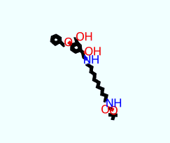 CC(C)(C)OC(=O)NCCCCCCCCCCCNCC(O)c1ccc(OCc2ccccc2)c(CO)c1